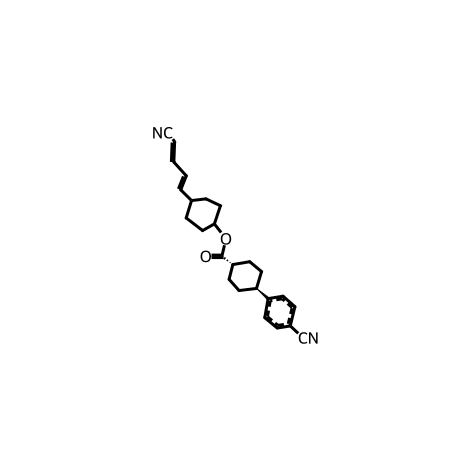 N#CC=C/C=C/C1CCC(OC(=O)[C@H]2CC[C@H](c3ccc(C#N)cc3)CC2)CC1